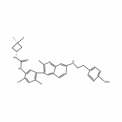 COc1ccc(CCNc2cc3nc(C)c(-c4cc(NC(=O)N[C@H]5C[C@](C)(F)C5)c(F)cc4F)cc3cn2)cc1